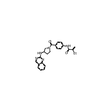 C=C(CC)C(=O)Nc1ccc(C(=O)N2CCC(Nc3ncc4ccccc4n3)C2)cc1